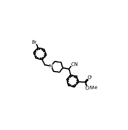 COC(=O)c1cccc(C(C#N)C2CCN(Cc3ccc(Br)cc3)CC2)c1